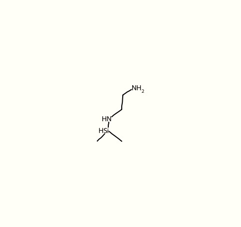 C[SiH](C)NCCN